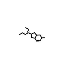 CCCN(CC)C1CC2C=CC(C)CC2C1